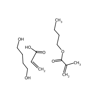 C=C(C)C(=O)OCCCC.C=CC(=O)O.OCCCCO